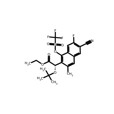 CCOC(=O)[C@@H](OC(C)(C)C)c1c(C)cc2cc(C#N)c(F)cc2c1OS(=O)(=O)C(F)(F)F